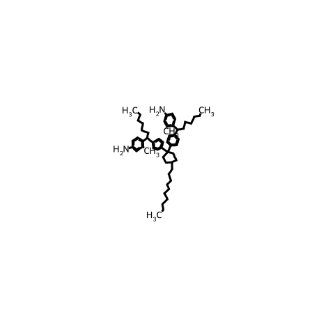 CCCCCCCCCCC1CCC(c2ccc(C(CCCCCC)c3ccc(N)cc3C)cc2)(c2ccc(C(CCCCCC)c3ccc(N)cc3C)cc2)CC1